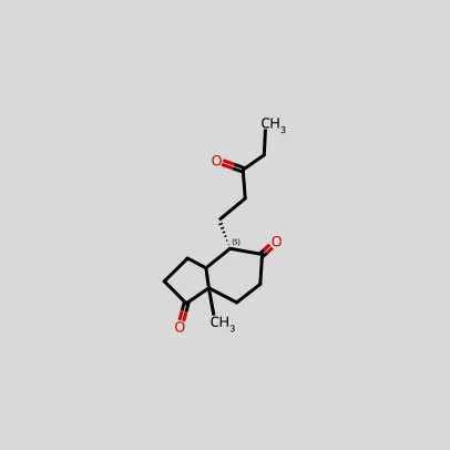 CCC(=O)CC[C@@H]1C(=O)CCC2(C)C(=O)CCC12